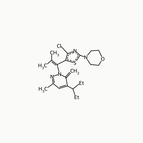 C=C1C(C(CC)CC)=CC(C)=NN1C(=C(C)C)c1sc(N2CCOCC2)nc1Cl